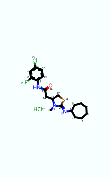 CN1C(=NC2CCCCCC2)SCC1CC(=O)Nc1ccc(Cl)cc1F.Cl